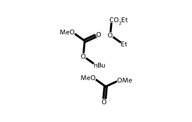 CCCCOC(=O)OC.CCOC(=O)OCC.COC(=O)OC